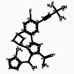 Cn1nccc1C(O)c1c(C(N)=O)nc2n1C1CC(C1)c1cc(F)c(C#CC(C)(C)O)cc1-2